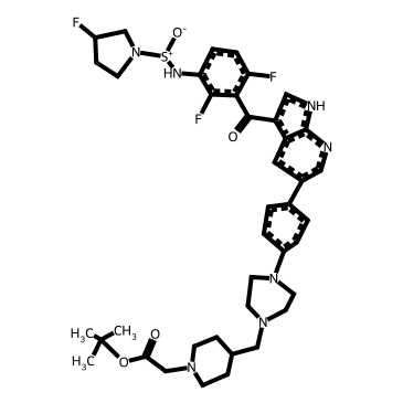 CC(C)(C)OC(=O)CN1CCC(CN2CCN(c3ccc(-c4cnc5[nH]cc(C(=O)c6c(F)ccc(N[S+]([O-])N7CCC(F)C7)c6F)c5c4)cc3)CC2)CC1